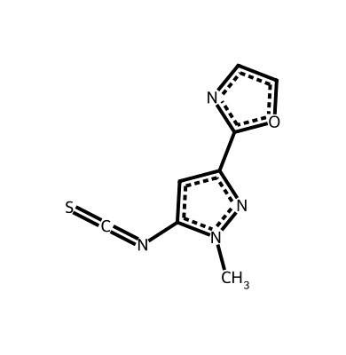 Cn1nc(-c2ncco2)cc1N=C=S